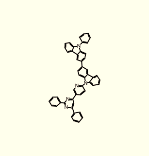 c1ccc(-c2cc(-c3ccc(-n4c5ccccc5c5cc(-c6ccc7c(c6)c6ccccc6n7-c6ccccc6)ccc54)nc3)nc(-c3ccccc3)n2)cc1